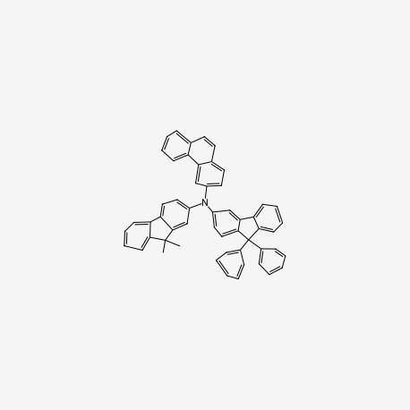 CC1(C)c2ccccc2-c2ccc(N(c3ccc4c(c3)-c3ccccc3C4(c3ccccc3)c3ccccc3)c3ccc4ccc5ccccc5c4c3)cc21